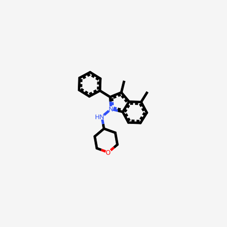 Cc1cccc2c1c(C)c(-c1ccccc1)n2NC1CCOCC1